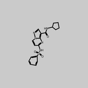 O=C(NC1CCCC1)c1cnn2ccc(NS(=O)(=O)c3ccccc3)nc12